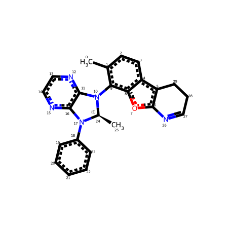 Cc1ccc2c3c(oc2c1N1c2nccnc2N(c2ccccc2)[C@@H]1C)N=CCC3